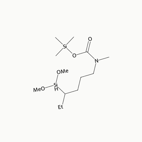 CCC(CCCN(C)C(=O)O[Si](C)(C)C)[SiH](OC)OC